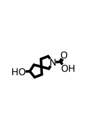 O=C(O)N1CCC2(CCC(O)C2)C1